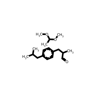 CC(C)Cc1ccc(CC(C)C=O)cc1.COC(C)OC